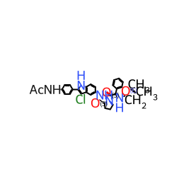 C=C(N[C@H](C(=O)N1CCC[C@H]1C(=O)Nc1ccc2[nH]c(-c3ccc(NC(C)=O)cc3)c(Cl)c2c1)c1ccccc1)O/C(C)=C/C